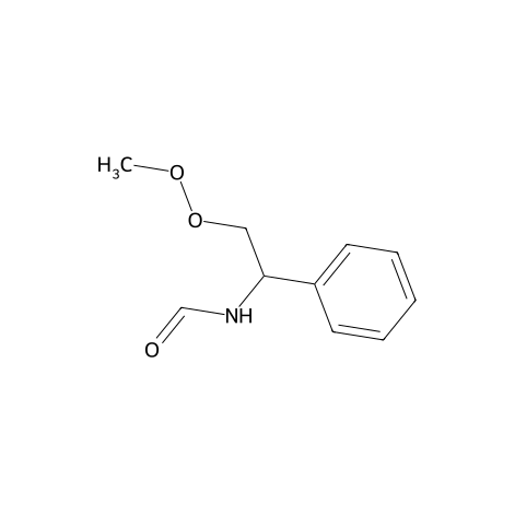 COOCC(NC=O)c1ccccc1